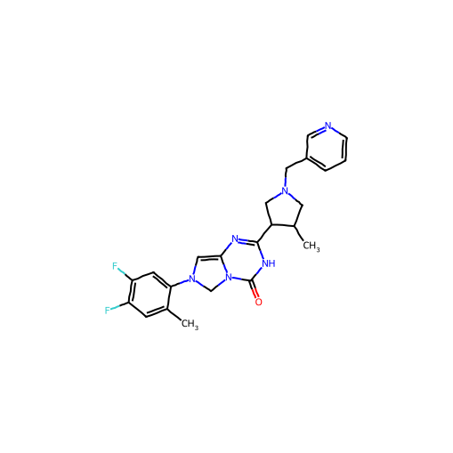 Cc1cc(F)c(F)cc1N1C=C2N=C(C3CN(Cc4cccnc4)CC3C)NC(=O)N2C1